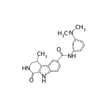 CC1CNC(=O)c2[nH]c3ccc(C(=O)Nc4cccc(N(C)C)c4)cc3c21